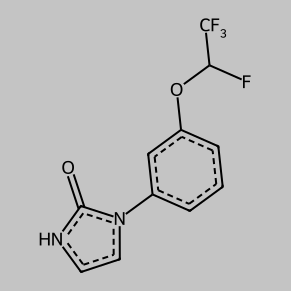 O=c1[nH]ccn1-c1cccc(OC(F)C(F)(F)F)c1